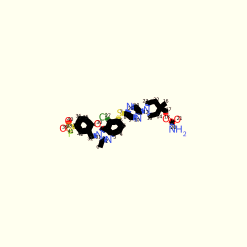 Cc1nc2ccc(Sc3cnc(N4CCC(C)(COC(N)=O)CC4)cn3)c(Cl)c2c(=O)n1Cc1cccc(S(=O)(=O)F)c1